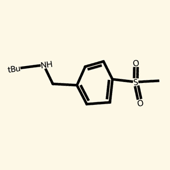 CC(C)(C)NCc1ccc(S(C)(=O)=O)cc1